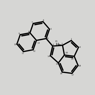 C1=C[C@@H]2C(c3cccc4ccccc34)=Cc3cccc1c32